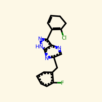 Fc1ccccc1Cc1cnc2c(C3=C(Cl)CCC=C3)n[nH]c2n1